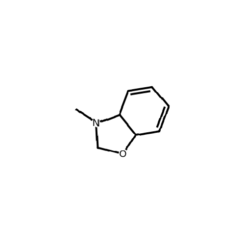 CN1COC2C=CC=CC21